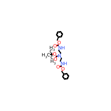 CC(C)(C)OC(=O)N(CCNC(=O)OCc1ccccc1)CCNC(=O)OCc1ccccc1